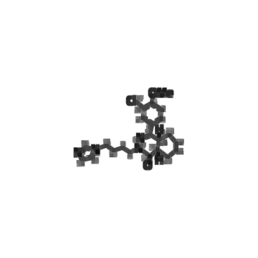 COc1ccc(C2=NN(CCCCn3ccnc3)C(=O)[C@H]3CC=CC[C@@H]23)cc1Cl